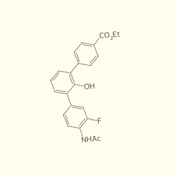 CCOC(=O)c1ccc(-c2cccc(-c3ccc(NC(C)=O)c(F)c3)c2O)cc1